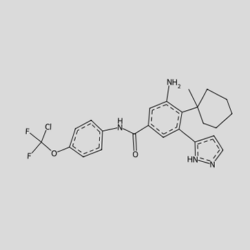 CC1(c2c(N)cc(C(=O)Nc3ccc(OC(F)(F)Cl)cc3)cc2-c2ccn[nH]2)CCCCC1